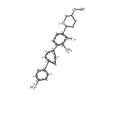 CCOC1CCC(c2ccc(-c3ccc(-c4ccc(C)cc4)cc3)c(C)c2F)OC1